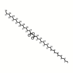 CCCCCCCCCCCCCCCCCCCC(=O)OC(=O)CCCCCCCCCCCCCCC